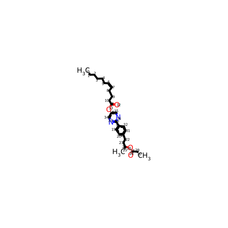 CCCCCC/C=C\CCCC(=O)Oc1cnc(-c2ccc(CCC(C)OC(=O)CC)cc2)nc1